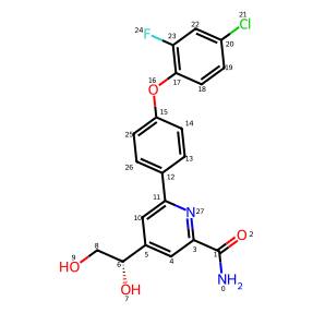 NC(=O)c1cc([C@H](O)CO)cc(-c2ccc(Oc3ccc(Cl)cc3F)cc2)n1